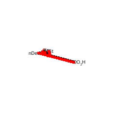 CCCCCCCCCCCCC(CCCOOC(=O)CCCCCCCCCCCCCCCCCCCCCC(=O)O)OC(=O)OCCCN(CC)CC